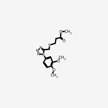 COC(=O)CCSCc1nnnn1-c1ccc(OC)c(OC)c1